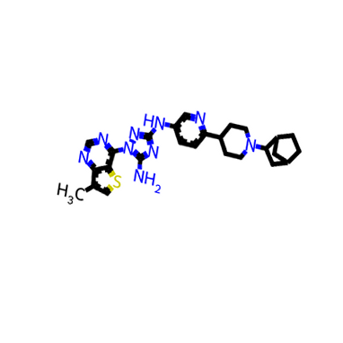 Cc1csc2c(-n3nc(Nc4ccc(C5CCN(C6CC7CCC6C7)CC5)nc4)nc3N)ncnc12